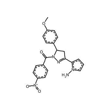 COc1ccc(C2CC(c3cccn3N)=NN2C(=O)c2ccc([N+](=O)[O-])cc2)cc1